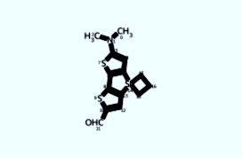 CN(C)c1cc2c(s1)-c1sc(C=O)cc1[Si]21CCC1